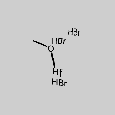 Br.Br.Br.C[O][Hf]